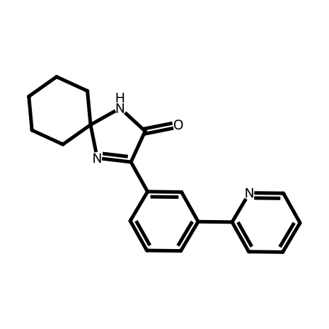 O=C1NC2(CCCCC2)N=C1c1cccc(-c2ccccn2)c1